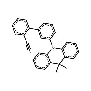 CC1(C)c2ccccc2N(c2cccc(-c3cccnc3C#N)c2)c2ccccc21